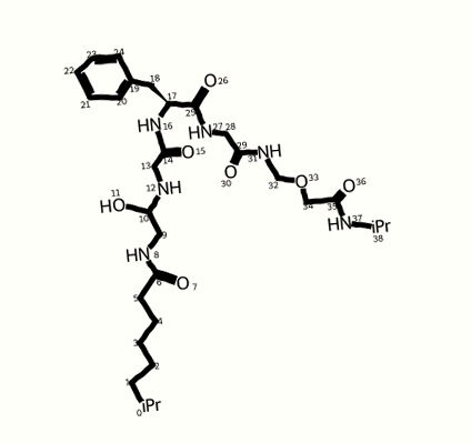 CC(C)CCCCCC(=O)NCC(O)NCC(=O)N[C@@H](Cc1ccccc1)C(=O)NCC(=O)NCOCC(=O)NC(C)C